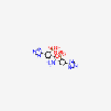 NC(=Cc1ccc(-c2ncncn2)cc1S(=O)(=O)O)c1ccc(-c2ncncn2)cc1S(=O)(=O)O